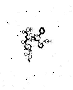 CCOC(=O)ON1CCN(C(=O)C(CCC(=O)O)NC(=O)c2cc(N3CCCC[C@H]3CO)nc(-c3ccccc3)n2)CC1